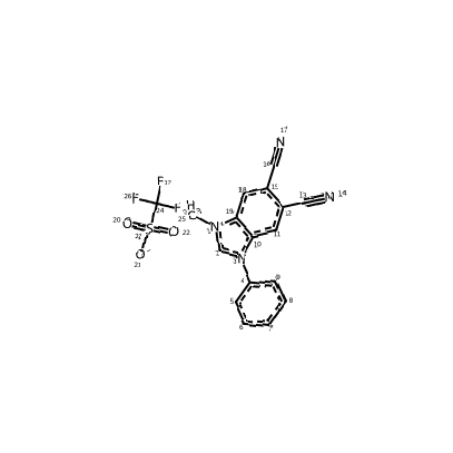 C[n+]1cn(-c2ccccc2)c2cc(C#N)c(C#N)cc21.O=S(=O)([O-])C(F)(F)F